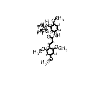 COc1cc(OC)c(C=CC(=O)Nc2ccc(OC)c(NS(=O)(=O)C(F)(F)F)c2)c(OC)c1